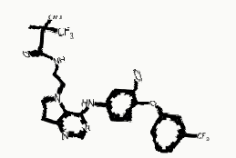 CC(O)(C(=O)NCCN1CCc2ncnc(Nc3ccc(Oc4cccc(C(F)(F)F)c4)c(Cl)c3)c21)C(F)(F)F